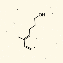 C=CC(C)=CCCCO